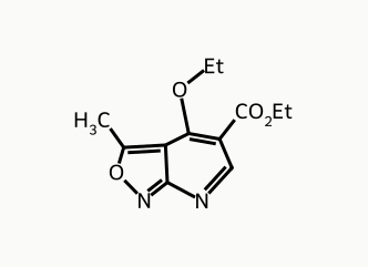 CCOC(=O)c1cnc2noc(C)c2c1OCC